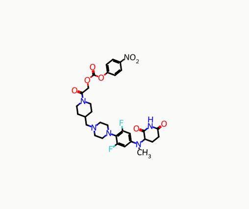 CN(c1cc(F)c(N2CCN(CC3CCN(C(=O)COC(=O)Oc4ccc([N+](=O)[O-])cc4)CC3)CC2)c(F)c1)C1CCC(=O)NC1=O